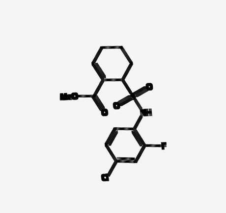 COC(=O)C1=CCCCC1S(=O)(=O)Nc1ccc(Cl)cc1F